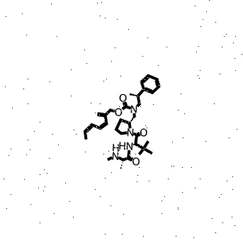 C=C(/C=C\C=C/C)COC(=O)N(C[C@@H]1CCCN1C(=O)[C@@H](NC(=O)[C@H](C)NC)C(C)(C)C)C[C@@H](C)c1ccccc1